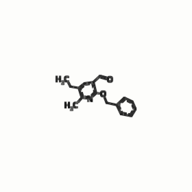 CCc1cc(C=O)c(OCc2ccccc2)nc1C